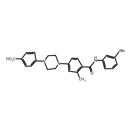 Cc1cc(N2CCN(c3ccc(C(=O)O)cc3)CC2)ccc1C(=O)Nc1cccc(C(C)(C)C)c1